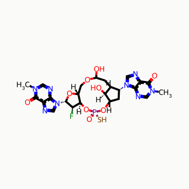 Cn1cnc2c(ncn2[C@@H]2C[C@@H]3OP(=O)(S)O[C@H]4[C@@H](F)[C@H](n5cnc6c(=O)n(C)cnc65)O[C@@H]4COC(O)C[C@@H]2[C@@H]3O)c1=O